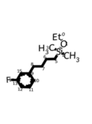 CCO[Si](C)(C)CCCCc1cccc(F)c1